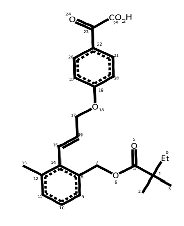 CCC(C)(C)C(=O)OCc1cccc(C)c1/C=C/COc1ccc(C(=O)C(=O)O)cc1